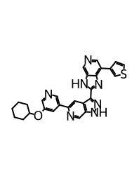 c1cc(-c2cncc3[nH]c(-c4n[nH]c5cnc(-c6cncc(OC7CCCCC7)c6)cc45)nc23)cs1